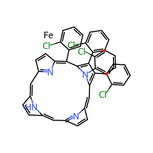 Clc1ccccc1-c1c(-c2ccccc2Cl)c2c(-c3ccccc3Cl)c3nc(cc4ccc(cc5nc(cc1n2-c1ccccc1Cl)C=C5)[nH]4)C=C3.[Fe]